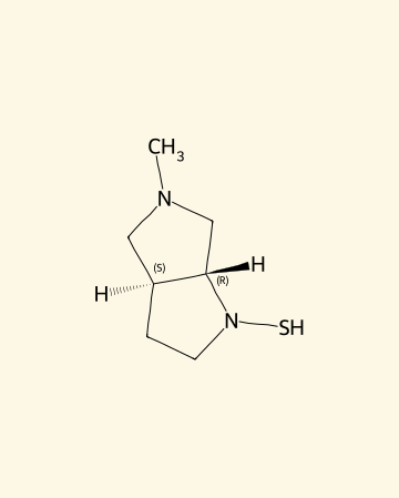 CN1C[C@@H]2CCN(S)[C@H]2C1